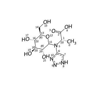 C[C@@H](C(=O)O)N(c1c[nH]nn1)C1O[C@H](CO)[C@@H](O)[C@H](O)[C@H]1O